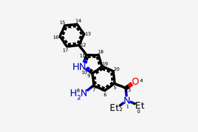 CCN(CC)C(=O)c1cc(N)c2[nH]c(-c3ccccc3)cc2c1